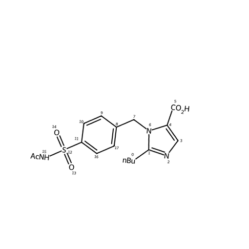 CCCCc1ncc(C(=O)O)n1Cc1ccc(S(=O)(=O)NC(C)=O)cc1